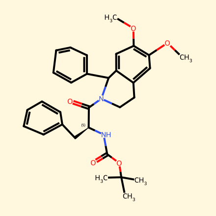 COc1cc2c(cc1OC)C(c1ccccc1)N(C(=O)[C@H](Cc1ccccc1)NC(=O)OC(C)(C)C)CC2